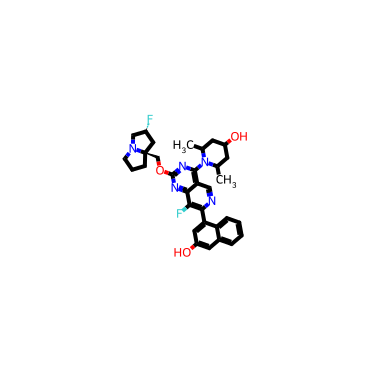 CC1CC(O)CC(C)N1c1nc(OC[C@@]23CCCN2C[C@H](F)C3)nc2c(F)c(-c3cc(O)cc4ccccc34)ncc12